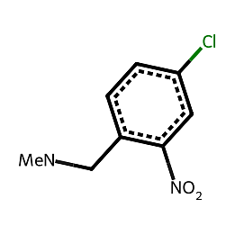 CNCc1ccc(Cl)cc1[N+](=O)[O-]